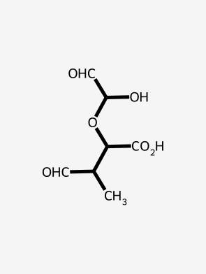 CC(C=O)C(OC(O)C=O)C(=O)O